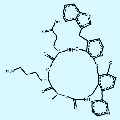 CN1CC(=O)NCc2c(-c3cccnc3)ccc(Cl)c2Sc2nccc(Cc3c[nH]c4ccccc34)c2CN[C@@H](CCC(N)=O)C(=O)N[C@@H](CCCCN)C1=O